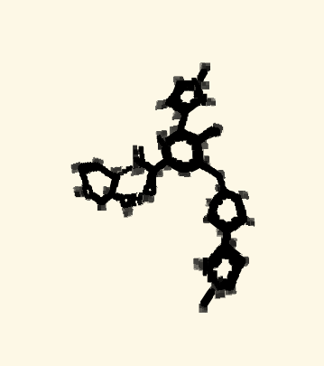 Cc1c(Cc2ccc(-c3ccn(C)n3)cc2)cc(C(=O)N[C@H]2CCOC[C@@H]2O)nc1-c1ccn(C)n1